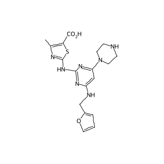 Cc1nc(Nc2nc(NCc3ccco3)cc(N3CCNCC3)n2)sc1C(=O)O